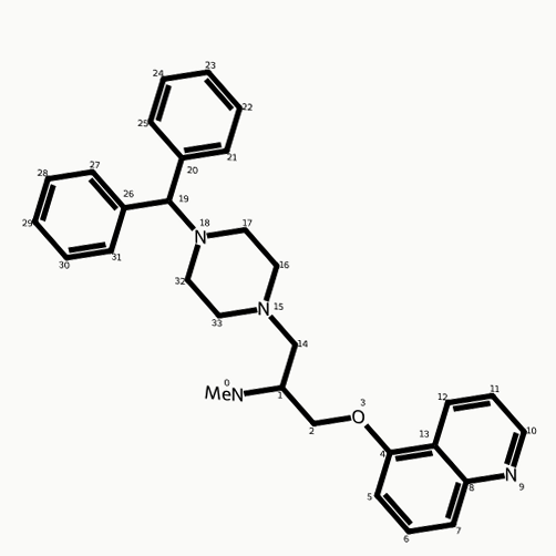 CNC(COc1cccc2ncccc12)CN1CCN(C(c2ccccc2)c2ccccc2)CC1